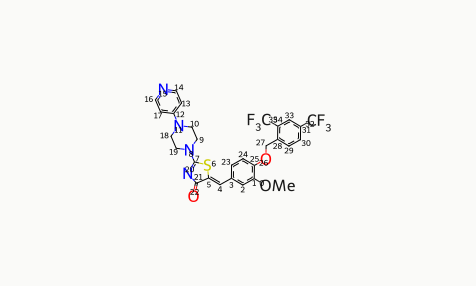 COc1cc(/C=C2\SC(N3CCN(c4ccncc4)CC3)=NC2=O)ccc1OCc1ccc(C(F)(F)F)cc1C(F)(F)F